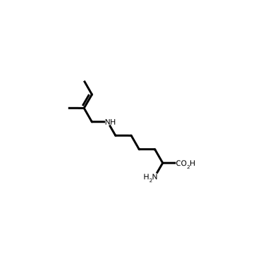 CC=C(C)CNCCCCC(N)C(=O)O